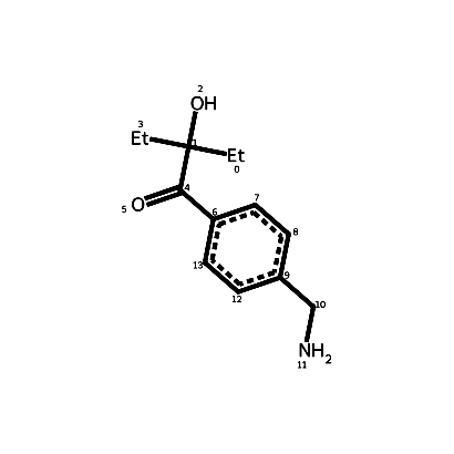 CCC(O)(CC)C(=O)c1ccc(CN)cc1